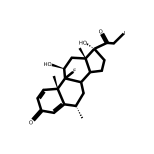 C[C@H]1CC2C3CC[C@](O)(C(=O)CI)[C@@]3(C)C[C@H](O)C2(F)[C@@]2(C)C=CC(=O)C=C12